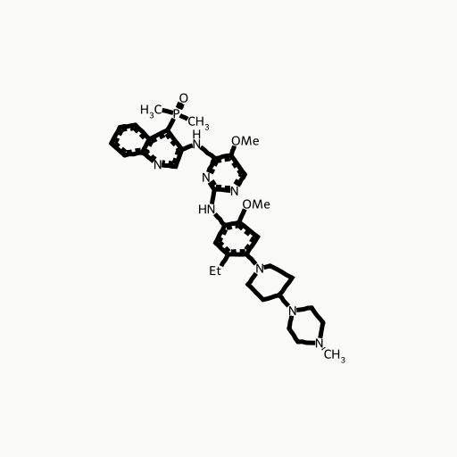 CCc1cc(Nc2ncc(OC)c(Nc3cnc4ccccc4c3P(C)(C)=O)n2)c(OC)cc1N1CCC(N2CCN(C)CC2)CC1